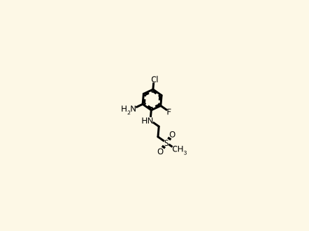 CS(=O)(=O)CCNc1c(N)cc(Cl)cc1F